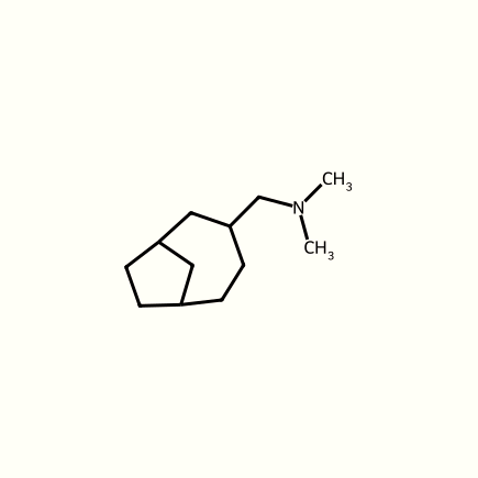 CN(C)CC1CCC2CCC(C2)C1